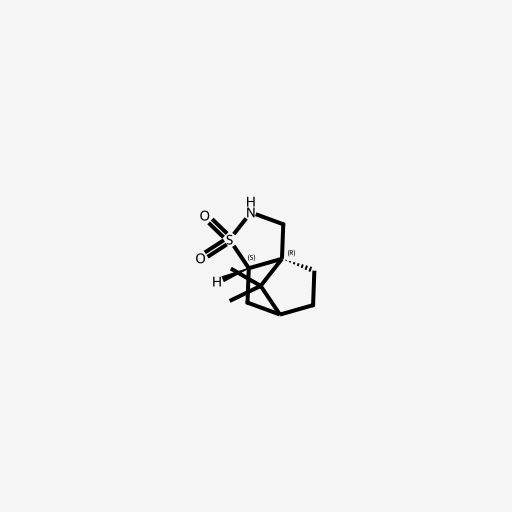 CC1(C)C2CC[C@]13CNS(=O)(=O)[C@H]3C2